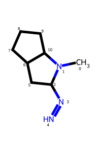 CN1C(N=N)CC2CCCC21